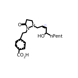 CCCCCC(O)/C=C\CN1CCC(=O)N1CCc1ccc(C(=O)O)cc1